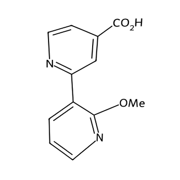 COc1ncccc1-c1cc(C(=O)O)ccn1